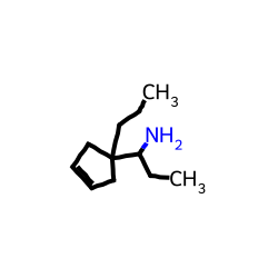 CCCC1(C(N)CC)CC=CC1